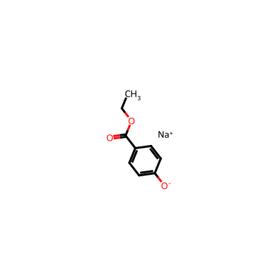 CCOC(=O)c1ccc([O-])cc1.[Na+]